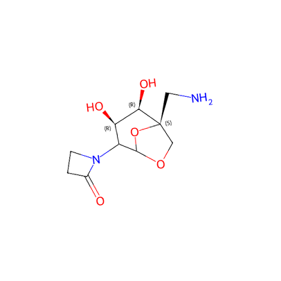 NC[C@@]12COC(O1)C(N1CCC1=O)[C@@H](O)[C@H]2O